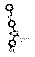 CCOC(=O)c1nc(-c2ccc(OCc3ccccc3)cc2)[nH]c1-c1ccc(C)cc1